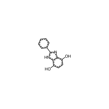 Oc1ccc(O)c2[nH]c(-c3ccccc3)nc12